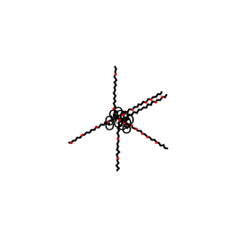 CCCCCCCCCCCCCCCCCC(=O)OC[C@H](OC(=O)CCCCCCCCCCCCCCCCC)[C@@H](OC(=O)CCCCCCCCCCCCCCCCC)[C@@H](OC(=O)CCCCCCCCCCCCCCCCC)[C@@H](COC(=O)CCCCCCCCCCCCCCCCC)OC(=O)CCCCCCCCCCCCCCCCC